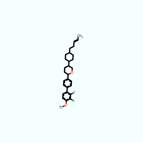 C/C=C/CCC1CCC(C2CCC(c3ccc(-c4ccc(OCC)c(F)c4F)cc3)OC2)CC1